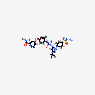 CNC(=O)c1cc(Oc2ccc(NC(=O)Nc3cc(C(C)(C)C)nn3-c3ccc(S(N)(=O)=O)cc3)c(F)c2)ccn1